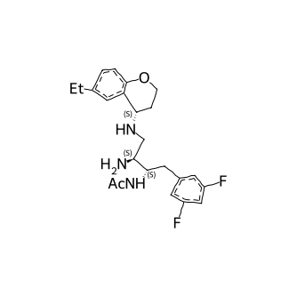 CCc1ccc2c(c1)[C@@H](NC[C@H](N)[C@H](Cc1cc(F)cc(F)c1)NC(C)=O)CCO2